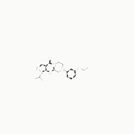 CCOc1cccc(N2CCn3c(nc4c(cnn4C(C)C)c3=O)C2)c1